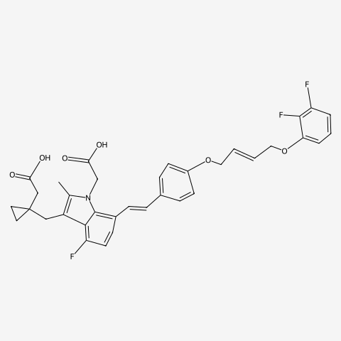 Cc1c(CC2(CC(=O)O)CC2)c2c(F)ccc(C=Cc3ccc(OCC=CCOc4cccc(F)c4F)cc3)c2n1CC(=O)O